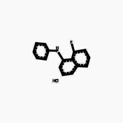 Cl.Fc1cccc2cccc(Pc3ccccc3)c12